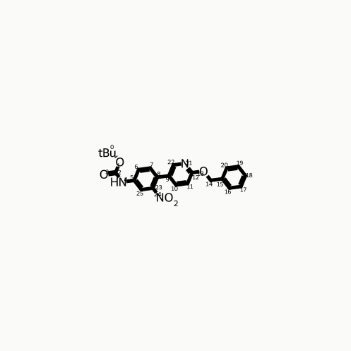 CC(C)(C)OC(=O)Nc1ccc(-c2ccc(OCc3ccccc3)nc2)c([N+](=O)[O-])c1